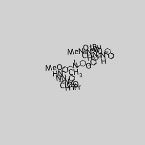 CN[C@@H](C)C(=O)N[C@H](C(=O)N1Cc2cc(OC3CCCC(CN(I)CCc4cc(OC)c(Nc5ncc(Cl)c(Nc6ccccc6S(=O)(=O)C(C)C)n5)cc4C)C3)ccc2C[C@H]1C(=O)N[C@@H]1CCCc2ccccc21)C(C)(C)C